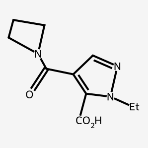 CCn1ncc(C(=O)N2CCC2)c1C(=O)O